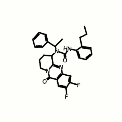 CCCc1ccccc1NC(=O)N(C(C)c1ccccc1)C1CCCn2c1nc1cc(F)c(F)cc1c2=O